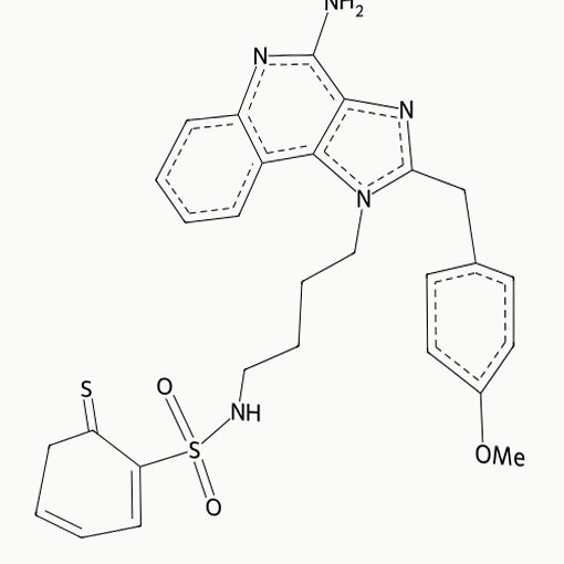 COc1ccc(Cc2nc3c(N)nc4ccccc4c3n2CCCCNS(=O)(=O)C2=CC=CCC2=S)cc1